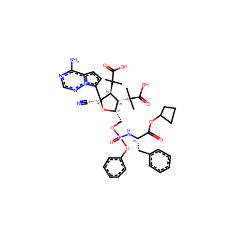 CC(C)(C(=O)O)[C@@H]1[C@H](COP(=O)(N[C@@H](Cc2ccccc2)C(=O)OC2CCC2)Oc2ccccc2)O[C@@](C#N)(c2ccc3c(N)ncnn23)[C@H]1C(C)(C)C(=O)O